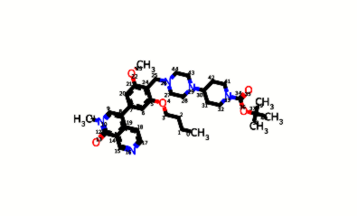 CCCCOc1cc(-c2cn(C)c(=O)c3cnccc23)cc(OC)c1CN1CCN(C2CCN(C(=O)OC(C)(C)C)CC2)CC1